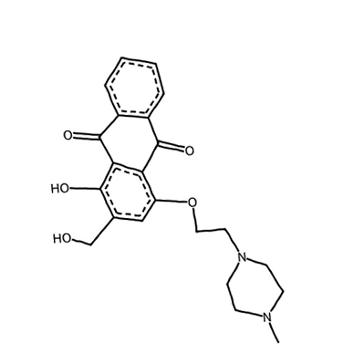 CN1CCN(CCOc2cc(CO)c(O)c3c2C(=O)c2ccccc2C3=O)CC1